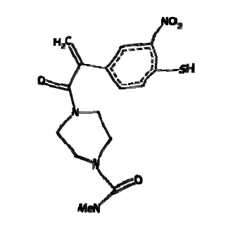 C=C(C(=O)N1CCN(C(=O)NC)CC1)c1ccc(S)c([N+](=O)[O-])c1